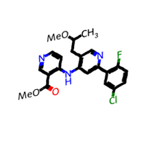 COC(=O)c1cnccc1Nc1cc(-c2cc(Cl)ccc2F)ncc1CC(C)OC